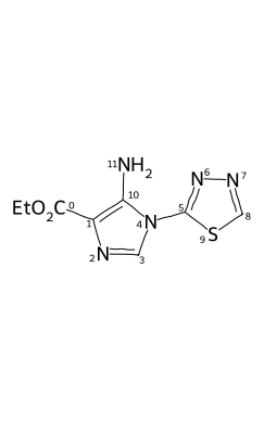 CCOC(=O)c1ncn(-c2nncs2)c1N